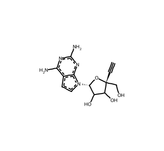 C#C[C@]1(CO)O[C@@H](n2ccc3c(N)nc(N)nc32)C(O)C1O